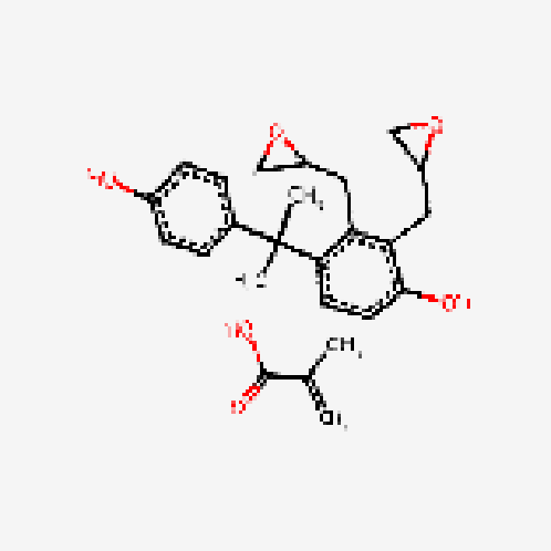 C=C(C)C(=O)O.CC(C)(c1ccc(O)cc1)c1ccc(O)c(CC2CO2)c1CC1CO1